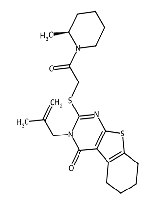 C=C(C)Cn1c(SCC(=O)N2CCCC[C@@H]2C)nc2sc3c(c2c1=O)CCCC3